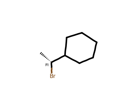 C[C@@H](Br)C1CCCCC1